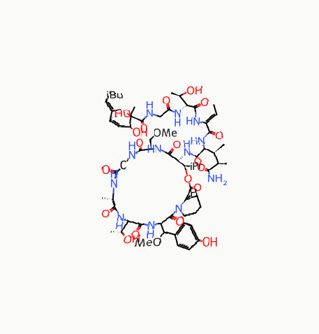 CC=C(NC(=O)[C@H](NC(=O)CNC(=O)C(C)(O)C(O)/C=C\C(C)=C\C(C)CC)[C@@H](C)O)C(=O)N[C@H](C(=O)N[C@H]1C(=O)N[C@H](COC)C(=O)NCC(=O)N[C@@H](C)C(=O)N[C@H]([C@@H](C)O)C(=O)NC(C(OC)c2ccc(O)cc2)C(=O)N2CCCC[C@H]2C(=O)O[C@@H]1C(C)C)[C@@H](C)[C@@H](C)C(N)=O